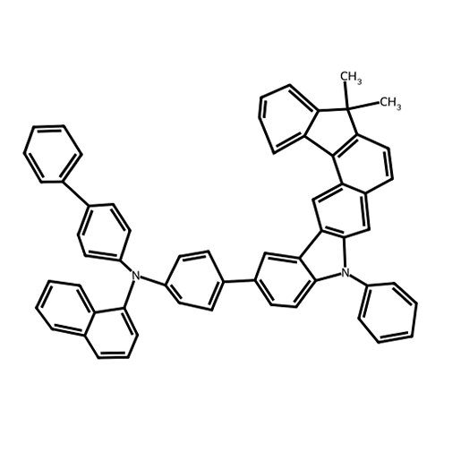 CC1(C)c2ccccc2-c2c1ccc1cc3c(cc21)c1cc(-c2ccc(N(c4ccc(-c5ccccc5)cc4)c4cccc5ccccc45)cc2)ccc1n3-c1ccccc1